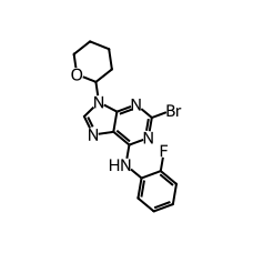 Fc1ccccc1Nc1nc(Br)nc2c1ncn2C1CCCCO1